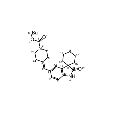 CC(C)(C)OC(=O)N1CCC(=Cc2ccc3c(c2)C2(CCCCC2)C(=O)N3)CC1